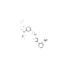 CCOC(=O)c1ccc(CNC(=O)c2cc(-c3ccccc3OC(F)(F)F)cs2)cc1C(=O)OCC